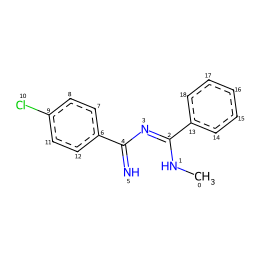 CN/C(=N\C(=N)c1ccc(Cl)cc1)c1ccccc1